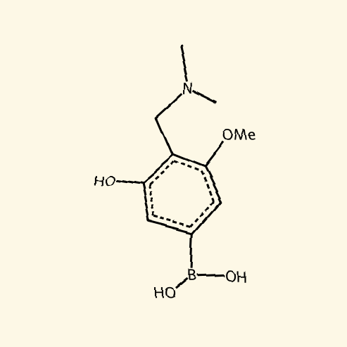 COc1cc(B(O)O)cc(O)c1CN(C)C